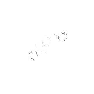 Cc1ccc(S(=O)(=O)N2CCC(Oc3cccnc3)CC2)cc1